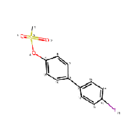 CS(=O)(=O)Oc1ccc(-c2ccc(I)cc2)cc1